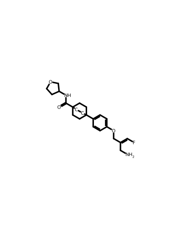 NCC(=CF)COc1ccc(C23CCC(C(=O)NC4CCOC4)(CC2)CC3)cc1